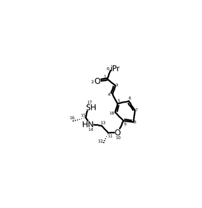 CC(C)C(=O)/C=C/c1cccc(O[C@H](C)CN[C@H](C)S)c1